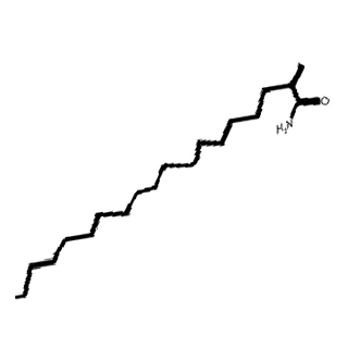 C=C(CCCCCCCCCCCCCCCCC)C(N)=O